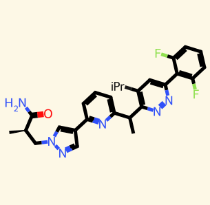 CC(C)c1cc(-c2c(F)cccc2F)nnc1C(C)c1cccc(-c2cnn(C[C@@H](C)C(N)=O)c2)n1